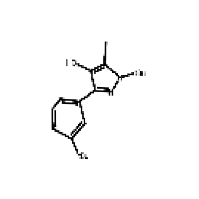 Cc1c(O)c(-c2cccc(C(C)(C)C)c2)nn1C(C)(C)C